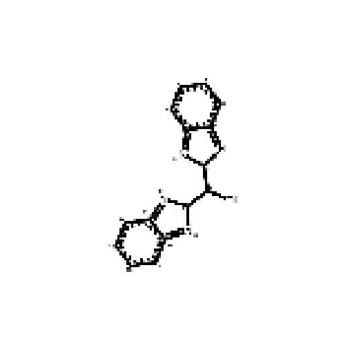 OC(C1N=c2ccccc2=N1)C1N=c2ccccc2=N1